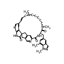 Cc1cc(C[C@H]2NC(=O)c3cc4c(cn3)C[C@@]3(C4)C(=O)Nc4ncc(cc43)/C=C/CN(C)CCCCCN(C)C2=O)cc2cnn(C)c12